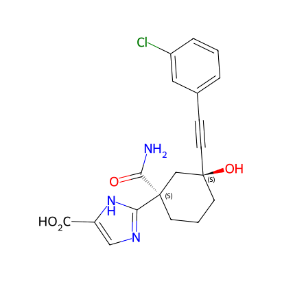 NC(=O)[C@@]1(c2ncc(C(=O)O)[nH]2)CCC[C@@](O)(C#Cc2cccc(Cl)c2)C1